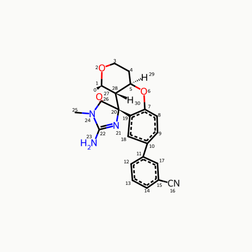 C[C@H]1OCC[C@H]2Oc3ccc(-c4cccc(C#N)c4)cc3[C@]3(N=C(N)N(C)C3=O)[C@H]12